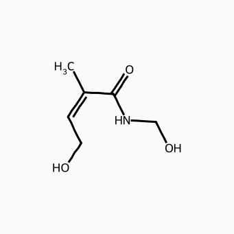 CC(=CCO)C(=O)NCO